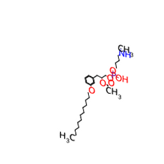 CCCCCCCCCCCCCOc1cccc(CC(COP(O)OCCCCNC)OC(C)=O)c1